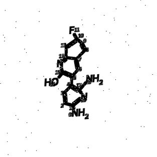 Nc1ccc(-c2cc3ccc(F)cc3nc2O)c(N)n1